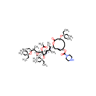 CC[C@H](O[Si](CC)(CC)CC)[C@@H](C)[C@@H]1O[C@@H]1[C@@](C)(OC(C)=O)[C@@](C)(/C=C/C(C)=C(\C)[C@H]1C/C=C/[C@H](OC(=O)N2CCNCC2)CCC[C@@H](O[Si](CC)(CC)CC)CC(=O)O1)O[Si](CC)(CC)CC